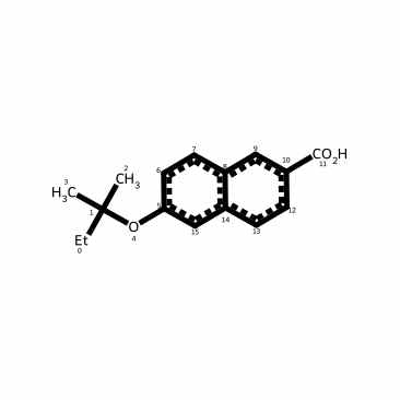 CCC(C)(C)Oc1ccc2cc(C(=O)O)ccc2c1